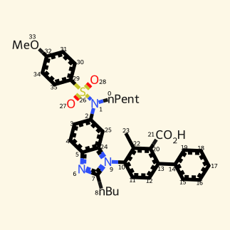 CCCCCN(c1ccc2nc(CCCC)n(-c3ccc(-c4ccccc4)c(C(=O)O)c3C)c2c1)S(=O)(=O)c1ccc(OC)cc1